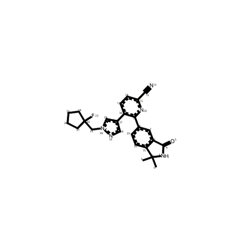 CC1(C)NC(=O)c2cc(-c3nc(C#N)ccc3-c3cnn(CC4(F)CCCC4)c3)ccc21